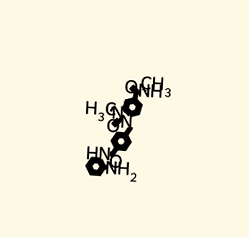 CNC(=O)c1ccc2c(c1)n(C)c(=O)n2Cc1ccc(C(=O)Nc2ccccc2N)cc1